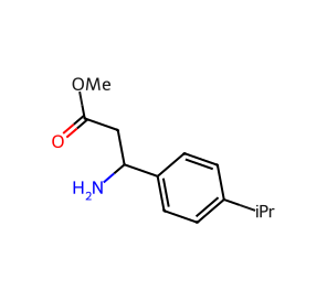 COC(=O)CC(N)c1ccc(C(C)C)cc1